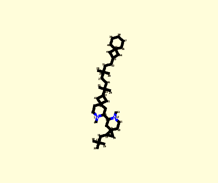 CN1CCC2(CC1C1CC3(CCN1C)CC3CC(C)(C)C)CC(C(C)(C)CCC(C)(C)CCC1CC3(CCCCC3)C1)C2